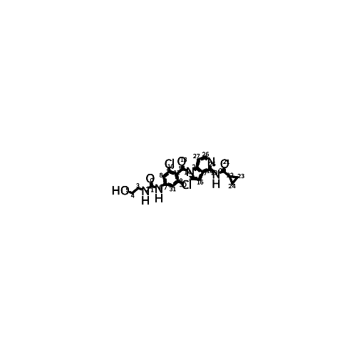 O=C(NCCO)Nc1cc(Cl)c(C(=O)n2ccc3c(NC(=O)C4CC4)nccc32)c(Cl)c1